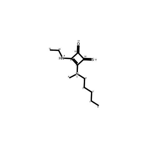 CCCCCN(C)c1c(NCC)c(=O)c1=S